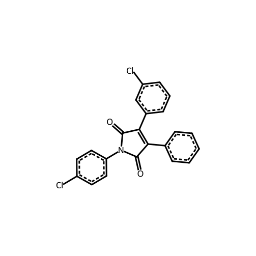 O=C1C(c2ccccc2)=C(c2cccc(Cl)c2)C(=O)N1c1ccc(Cl)cc1